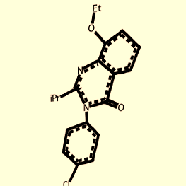 CCOc1cccc2c(=O)n(-c3ccc(Cl)cc3)c(C(C)C)nc12